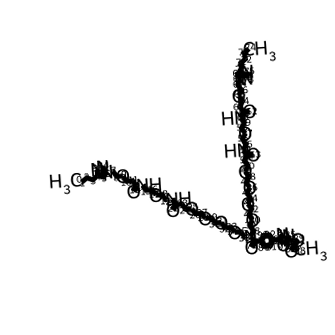 CCCCc1cn(CCOCCC(=O)NCCOCCNC(=O)CCOCCOCCOCCOCCN(CCOCCOCCOCCOCCC(=O)NCCOCCNC(=O)CCOCCn2cc(CCCC)nn2)C(=O)c2ccc(-c3nnc(S(C)(=O)=O)o3)cc2)nn1